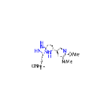 CNc1cc(C2CCC3NNC(C#CC(C)(C)N=O)N3N2)cnc1OC